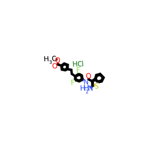 COC(=O)c1ccc(CCc2c(F)cc(NC(=O)c3c(N)sc4ccccc34)cc2F)cc1.Cl